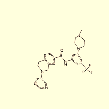 CN1CCN(c2cc(NC(=O)c3ccc4c(c3)CN(c3cncnc3)CC4)cc(C(F)(F)F)c2)CC1